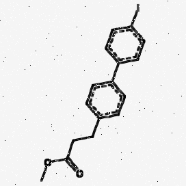 COC(=O)CCc1ccc(-c2ccc(I)cc2)cc1